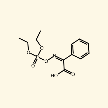 CCOP(=O)(OCC)O/N=C(\C(=O)O)c1ccccc1